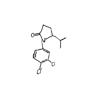 CC(C)C1CCC(=O)N1c1ccc(Cl)c(Cl)c1